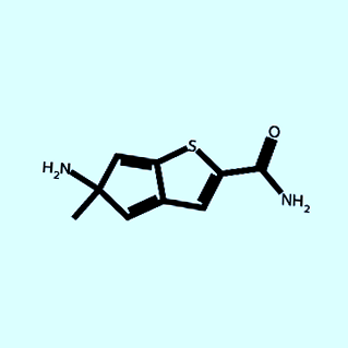 CC1(N)C=c2cc(C(N)=O)sc2=C1